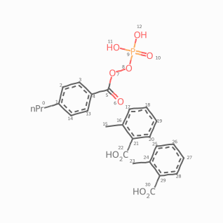 CCCc1ccc(C(=O)OOP(=O)(O)O)cc1.Cc1ccccc1C(=O)O.Cc1ccccc1C(=O)O